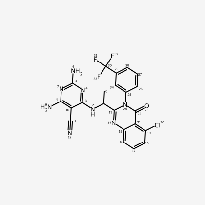 CC(Nc1nc(N)nc(N)c1C#N)c1nc2cccc(Cl)c2c(=O)n1-c1cccc(C(F)(F)F)c1